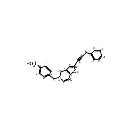 O=C(O)c1ccc(CN2C=Nc3sc(C#CCc4ccccc4)cc3C2)cc1